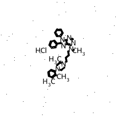 Cc1cccc(N2CCN(CCCCN(C)c3ncnc4c3nc(-c3ccccc3)n4-c3ccccc3)[C@@H](C)C2)c1C.Cl